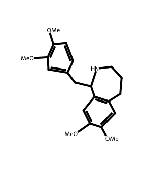 COc1ccc(CC2NCCCc3cc(OC)c(OC)cc32)cc1OC